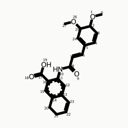 COC1C=CC(/C=C/C(=O)Nc2cc3c(cc2C(=O)O)CCC=C3)=CC1OC